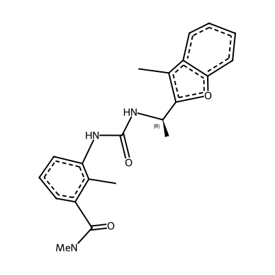 CNC(=O)c1cccc(NC(=O)N[C@H](C)c2oc3ccccc3c2C)c1C